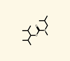 CC(C)CN(C)C(=O)OC(C(C)C)C(C)C